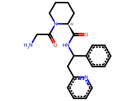 NCC(=O)N1CCCC[C@H]1C(=O)NC(Cc1ccccn1)c1ccccc1